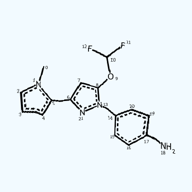 Cn1cccc1-c1cc(OC(F)F)n(-c2ccc(N)cc2)n1